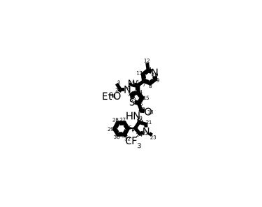 CCOC(C)n1nc(-c2ccnc(C)c2)c2cc(C(=O)N[C@@H]3CN(C)C[C@H]3c3ccccc3C(F)(F)F)sc21